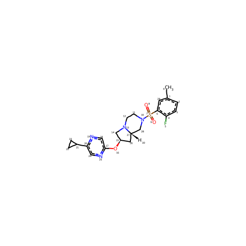 Cc1ccc(F)c(S(=O)(=O)N2CCN3C[C@H](Oc4cnc(C5CC5)cn4)C[C@H]3C2)c1